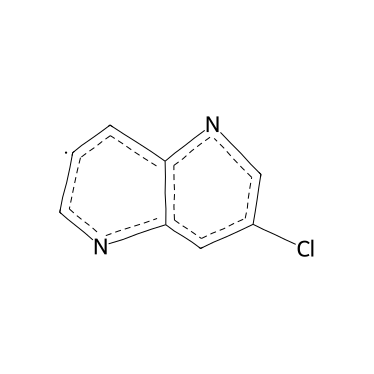 Clc1cnc2c[c]cnc2c1